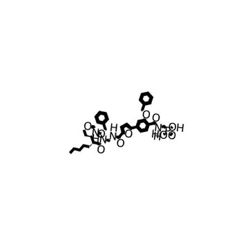 CCCCC[C@@H](C(=O)NCNC(=O)c1ccc(-c2ccc(C(=O)NCP(=O)(O)O)c(OCc3ccccc3)c2)o1)[C@@H](CC)N(C=O)OCc1ccccc1